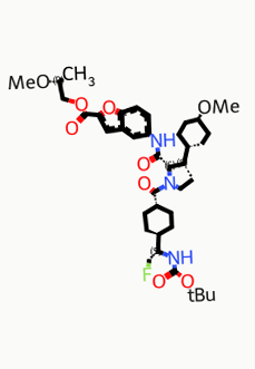 CO[C@H](C)COC(=O)c1cc2cc(NC(=O)[C@@H]3[C@H]([C@H]4CC[C@H](OC)CC4)CCN3C(=O)[C@H]3CC[C@H]([C@@H](CF)NC(=O)OC(C)(C)C)CC3)ccc2o1